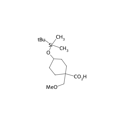 COCC1(C(=O)O)CCC(O[Si](C)(C)C(C)(C)C)CC1